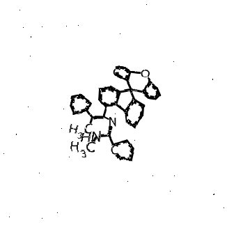 CN/C(=N\C(=C(/C)c1ccccc1)c1cccc2c1-c1ccccc1C21c2ccccc2Oc2ccccc21)c1ccccc1